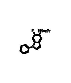 CCCNc1cc2ccn(-c3ccccc3)c2cc1F